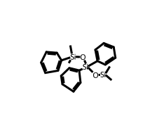 C[Si](C)O[Si](O[Si](C)(C)c1ccccc1)(c1ccccc1)c1ccccc1